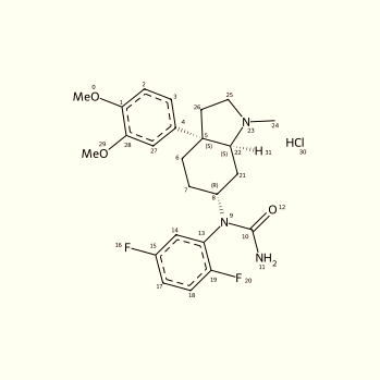 COc1ccc([C@@]23CC[C@@H](N(C(N)=O)c4cc(F)ccc4F)C[C@@H]2N(C)CC3)cc1OC.Cl